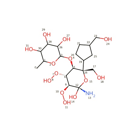 CC1OC(O[C@@H]2[C@@H](OO)[C@H](OO)[C@@](N)(O)O[C@@]2(CO)C2CCC(CO)C2)C(O)C(O)C1O